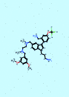 COc1cc(CN(C)CCN(C)Cc2ccc3c(c2)C(c2ccc(OC(F)(F)F)cc2CN)=CC3CCCN)cc(OC)c1